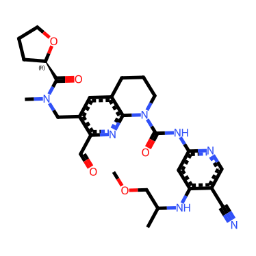 COCC(C)Nc1cc(NC(=O)N2CCCc3cc(CN(C)C(=O)[C@H]4CCCO4)c(C=O)nc32)ncc1C#N